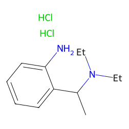 CCN(CC)C(C)c1ccccc1N.Cl.Cl